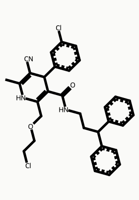 CC1=C(C#N)C(c2cccc(Cl)c2)C(C(=O)NCCC(c2ccccc2)c2ccccc2)=C(COCCCl)N1